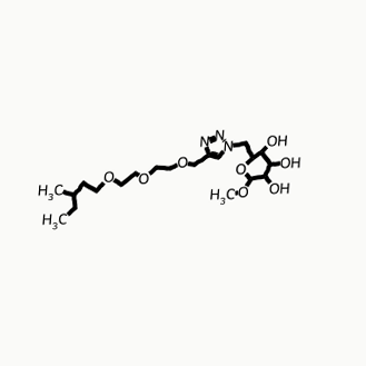 CCC(C)CCOCCOCCOCc1cn(CC2OC(OC)C(O)C(O)C2O)nn1